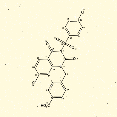 O=C(O)c1ccc(Cn2c(=O)n(S(=O)(=O)c3ccc(Cl)cc3)c(=O)c3ccc(Cl)cc32)cc1